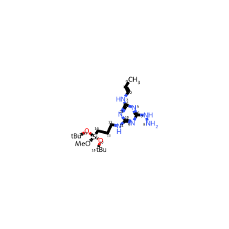 C/C=C/Nc1nc(NN)nc(NCCC[Si](OC)(OC(C)(C)C)OC(C)(C)C)n1